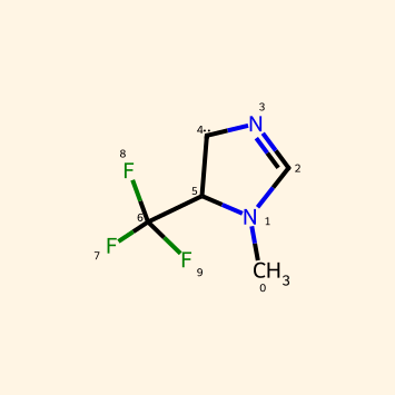 CN1C=N[C]C1C(F)(F)F